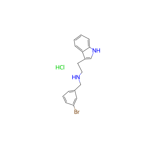 Brc1cccc(CNCCc2c[nH]c3ccccc23)c1.Cl